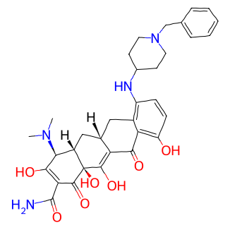 CN(C)[C@@H]1C(O)=C(C(N)=O)C(=O)[C@@]2(O)C(O)=C3C(=O)c4c(O)ccc(NC5CCN(Cc6ccccc6)CC5)c4C[C@H]3C[C@@H]12